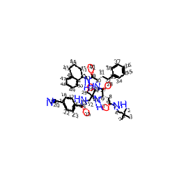 CC(C)(C)CNC(=O)C[C@H](NC1(CNC(=O)c2ccc(C#N)cc2)COC1)C(=O)N[C@@H](CCc1ccccc1)C(=O)N[C@@H]1CCCc2ccccc21